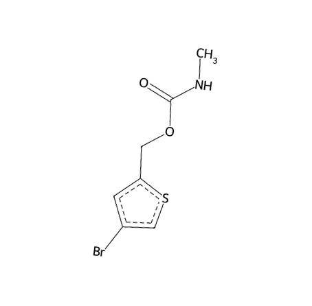 CNC(=O)OCc1cc(Br)cs1